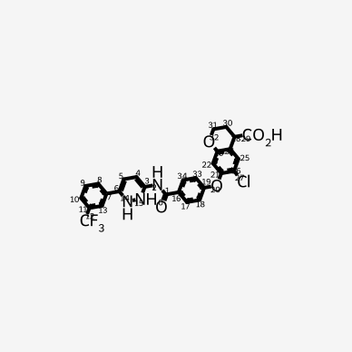 O=C(NC1=CC=C(c2cccc(C(F)(F)F)c2)NN1)c1ccc(Oc2cc3c(cc2Cl)C(C(=O)O)CCO3)cc1